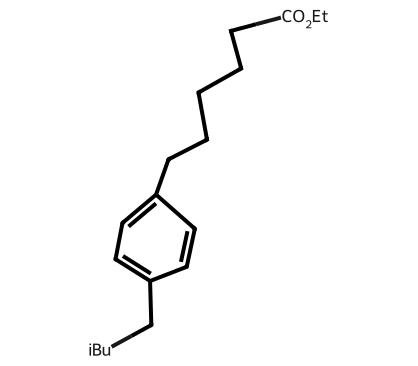 CCOC(=O)CCCCCc1ccc(CC(C)CC)cc1